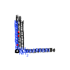 C#N.C#N.C#N.C#N.C#N.C#N.C#N.C#N.C#N.C#N.C#N.C#N.C#N.C#N.C#N.C#N.C#N.C#N.C#N.C#N.C#N.C#N.C#N.C#N.C#N.C#N.C#N.C#N.C#N.C#N.Nc1ccccc1N.[Fe].[Fe].[Fe].[Fe].[Fe]